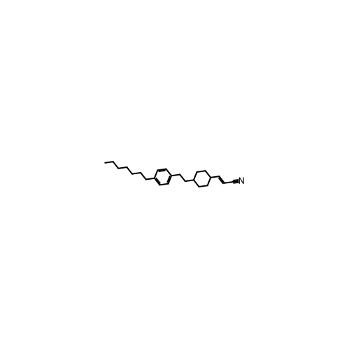 CCCCCCCc1ccc(CCC2CCC(C=CC#N)CC2)cc1